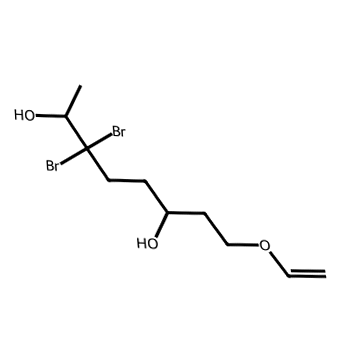 C=COCCC(O)CCC(Br)(Br)C(C)O